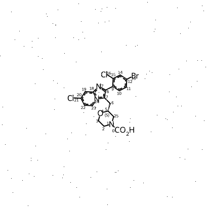 O=C(O)N1CCO[C@@H](Cc2c(-c3ccc(Br)cc3Cl)nc3cc(Cl)ccn23)C1